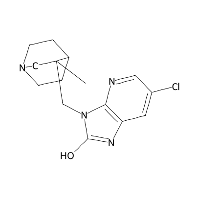 CC1(Cn2c(O)nc3cc(Cl)cnc32)CN2CCC1CC2